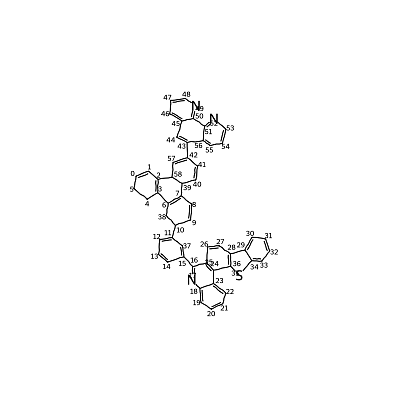 C1=CC2=C(CC1)C1=C(C=CC(c3cccc(-c4nc5ccccc5c5c4ccc4c6ccccc6sc45)c3)C1)C1C=CC(c3cc4cccnc4c4ncccc34)=CC21